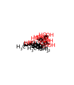 CC(C)=CCC[C@@](C)(O)[C@H]1CC[C@]2(C)[C@@H]1[C@H](O)C[C@@H]1[C@@]3(C)CC[C@H](O[C@@H]4O[C@H](CO)[C@@H](O)[C@H](O)[C@H]4O[C@@H]4O[C@H](CO)[C@@H](O)[C@H](O)[C@H]4O[C@@H]4OC[C@@H](O)[C@H](O)[C@H]4O)C(C)(C)[C@@H]3CC[C@]12C